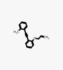 C=CCOc1ccccc1C#Cc1ccccc1C